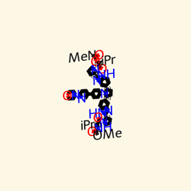 CNC(=O)O[C@H](C(=O)N1CCC[C@H]1c1nc2cc([C@H]3CC[C@H](c4ccc5[nH]c([C@@H]6CCCN6C(=O)[C@@H](NC(=O)OC)C(C)C)nc5c4)N3c3ccc(-c4ccc(N5CCOCC5)nc4)cc3)ccc2[nH]1)C(C)C